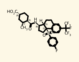 C[C@H]1C[C@H](C(=O)O)CC[C@H]1C(=O)N[C@@H]1CC[C@@]2(S(=O)(=O)c3ccc(F)cc3)c3ccc(C(F)(C(F)(F)F)C(F)(F)F)cc3CC[C@@H]12